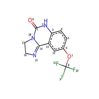 O=C1Nc2ccc(OC(F)(F)F)cc2C2=NCCN12